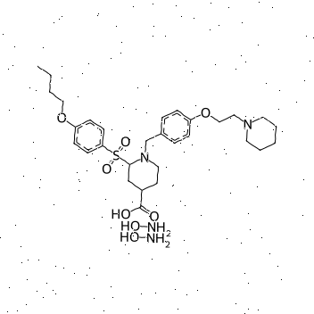 CCCCOc1ccc(S(=O)(=O)C2CC(C(=O)O)CCN2Cc2ccc(OCCN3CCCCC3)cc2)cc1.NO.NO